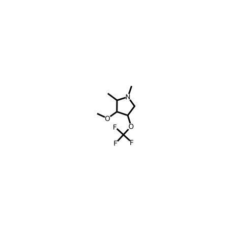 COC1C(OC(F)(F)F)CN(C)C1C